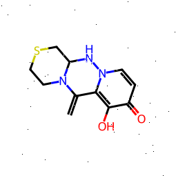 C=C1c2c(O)c(=O)ccn2NC2CSCCN12